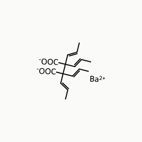 CC=CC(C=CC)(C(=O)[O-])C(C=CC)(C=CC)C(=O)[O-].[Ba+2]